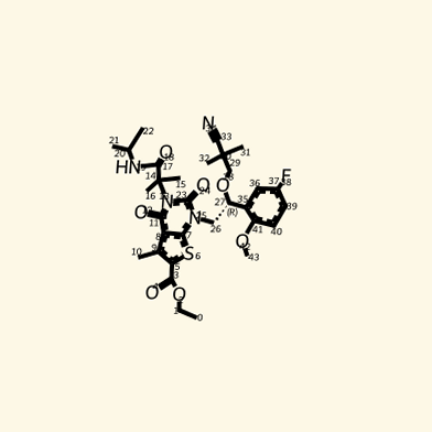 CCOC(=O)c1sc2c(c1C)c(=O)n(C(C)(C)C(=O)NC(C)C)c(=O)n2C[C@H](OCC(C)(C)C#N)c1cc(F)ccc1OC